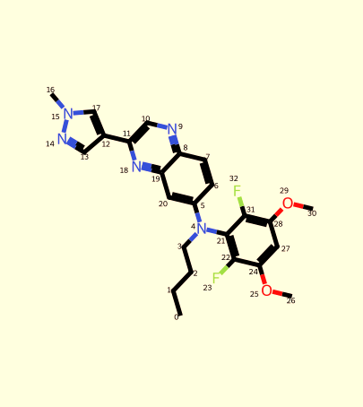 CCCCN(c1ccc2ncc(-c3cnn(C)c3)nc2c1)c1c(F)c(OC)cc(OC)c1F